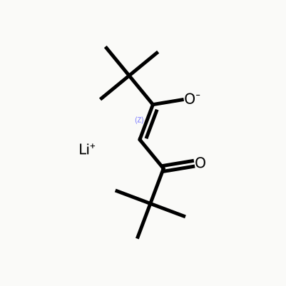 CC(C)(C)C(=O)/C=C(\[O-])C(C)(C)C.[Li+]